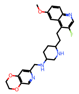 COc1ccc2ncc(F)c(CCC3CCC(NCc4cc5c(cn4)OCCO5)CN3)c2c1